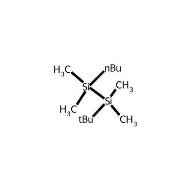 CCCC[Si](C)(C)[Si](C)(C)C(C)(C)C